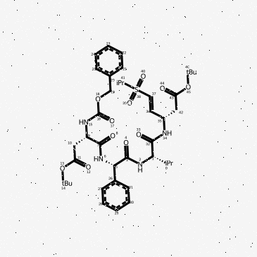 CC(C)[C@H](NC(=O)[C@@H](NC(=O)[C@H](CC(=O)OC(C)(C)C)NC(=O)OCc1ccccc1)c1ccccc1)C(=O)N[C@H](/C=C/S(=O)(=O)C(C)C)CC(=O)OC(C)(C)C